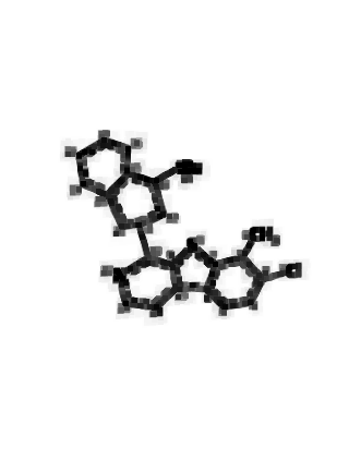 Cc1c(Cl)ccc2c1sc1c(-c3cc(C(C)(C)C)c4ccccc4c3)nccc12